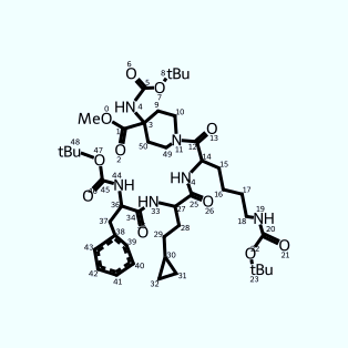 COC(=O)C1(NC(=O)OC(C)(C)C)CCN(C(=O)C(CCCCNC(=O)OC(C)(C)C)NC(=O)C(CCC2CC2)NC(=O)C(Cc2ccccc2)NC(=O)OC(C)(C)C)CC1